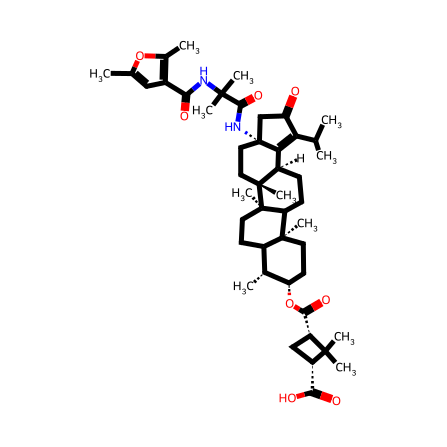 Cc1cc(C(=O)NC(C)(C)C(=O)N[C@@]23CC[C@]4(C)[C@H](CCC5[C@@]6(C)CC[C@H](OC(=O)[C@H]7C[C@@H](C(=O)O)C7(C)C)[C@H](C)C6CC[C@]54C)C2=C(C(C)C)C(=O)C3)c(C)o1